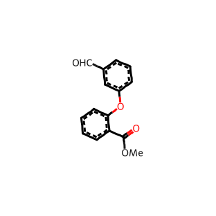 COC(=O)c1ccccc1Oc1cccc(C=O)c1